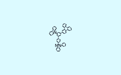 c1ccc(-n2c(-c3ccc(-c4cc(-c5ccc6c7ccccc7c7ccccc7c6c5)cc(-n5c6ccccc6c6ccccc65)c4)cc3)nc3ccccc32)cc1